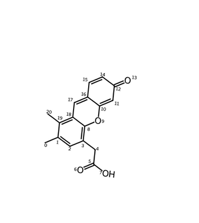 Cc1cc(CC(=O)O)c2oc3cc(=O)ccc-3cc2c1C